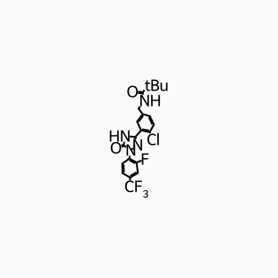 CC(C)(C)C(=O)NCc1ccc(Cl)c(-c2nn(-c3ccc(C(F)(F)F)cc3F)c(=O)[nH]2)c1